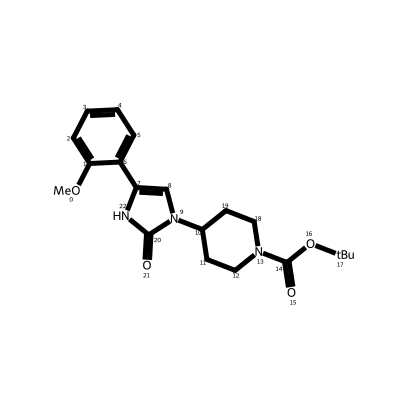 COc1ccccc1-c1cn(C2CCN(C(=O)OC(C)(C)C)CC2)c(=O)[nH]1